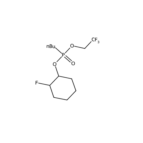 CCCCP(=O)(OCC(F)(F)F)OC1CCCCC1F